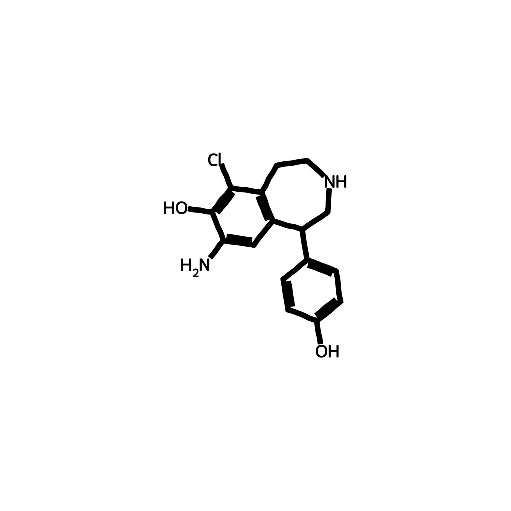 Nc1cc2c(c(Cl)c1O)CCNCC2c1ccc(O)cc1